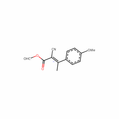 COc1ccc(/C(C)=C(\C#N)C(=O)OC=O)cc1